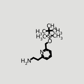 CC(C)(C)[Si](C)(C)OCc1cccc(CCN)n1